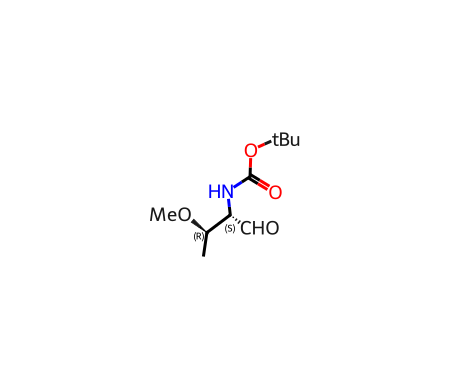 CO[C@H](C)[C@@H](C=O)NC(=O)OC(C)(C)C